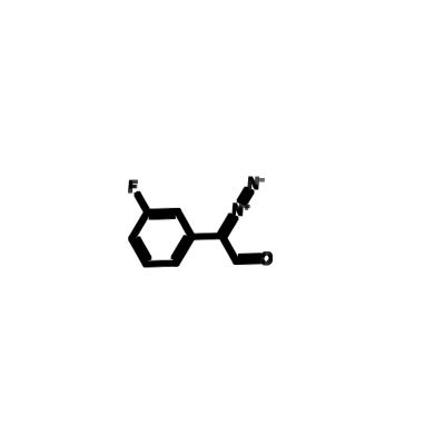 [N-]=[N+]=C(C=O)c1cccc(F)c1